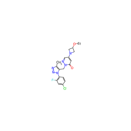 CCOC1CN(c2cnn(Cc3c(C)nnn3-c3ccc(Cl)cc3F)c(=O)c2)C1